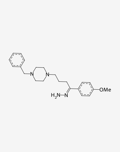 COc1ccc(C(CCCN2CCN(Cc3ccccc3)CC2)=NN)cc1